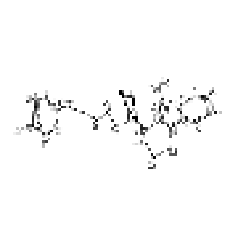 CCn1c2c(c3ccccc31)CCCC2NCCCCc1ccccc1